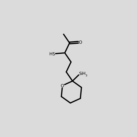 CC(=O)C(S)CCC1([SiH3])CCCCO1